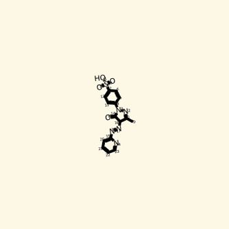 CC1=NN(c2ccc(S(=O)(=O)O)cc2)C(=O)C1N=Nc1ccccn1